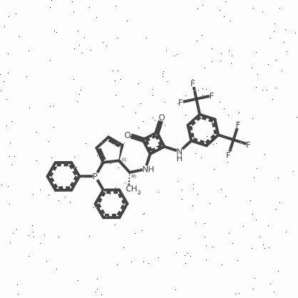 C[C@@H](Nc1c(Nc2cc(C(F)(F)F)cc(C(F)(F)F)c2)c(=O)c1=O)[C@@H]1C=CC=C1P(c1ccccc1)c1ccccc1